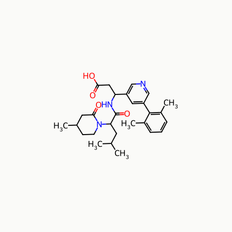 Cc1cccc(C)c1-c1cncc(C(CC(=O)O)NC(=O)C(CC(C)C)N2CCC(C)CC2=O)c1